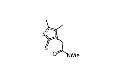 CNC(=O)Cn1c(C)c(C)sc1=S